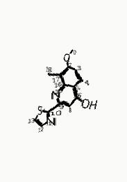 COc1ccc2c(O)cc(-c3nccs3)nc2c1C